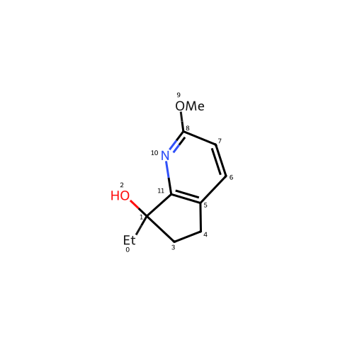 CCC1(O)CCc2ccc(OC)nc21